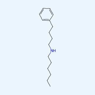 CCCCCCNCCCCc1ccccc1